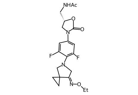 CCO/N=C1\CN(c2c(F)cc(N3C[C@H](CNC(C)=O)OC3=O)cc2F)CC12CC2